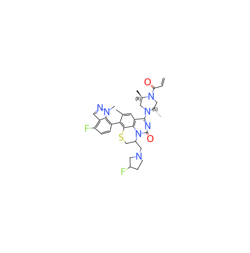 C=CC(=O)N1C[C@H](C)N(c2nc(=O)n3c4c(c(-c5ccc(F)c6cnn(C)c56)c(C)cc24)SCC3CN2CCC(F)C2)C[C@H]1C